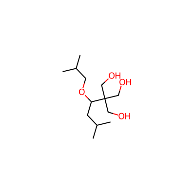 CC(C)COC(CC(C)C)C(CO)(CO)CO